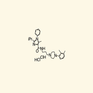 Cc1cccc(N2CCN(CCCNC(=O)c3nc(C(C)C)n(-c4ccccc4)c3C)CC2)c1C.Cl.Cl